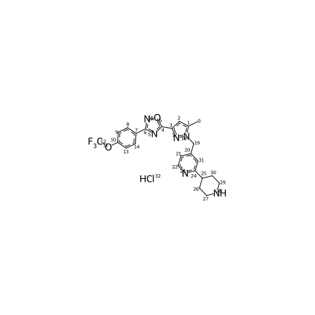 Cc1cc(-c2nc(-c3ccc(OC(F)(F)F)cc3)no2)nn1Cc1ccnc(C2CCNCC2)c1.Cl